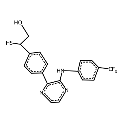 OCC(S)c1ccc(-c2nccnc2Nc2ccc(C(F)(F)F)cc2)cc1